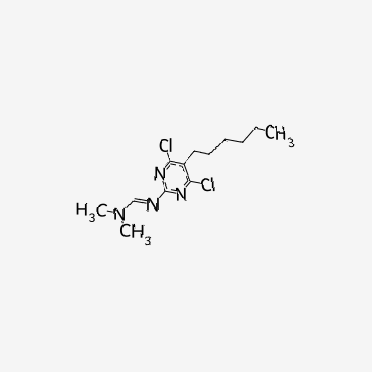 CCCCCCc1c(Cl)nc(N=CN(C)C)nc1Cl